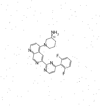 N[C@H]1CCCN(c2ccnc3cnc(-c4nccc(-c5c(F)cccc5F)n4)cc23)C1